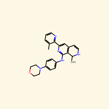 Cc1cccnc1-c1cc2c(c(Nc3ccc(N4CCOCC4)cc3)n1)C(C=O)NC=C2